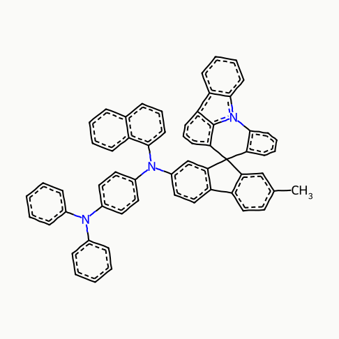 Cc1ccc2c(c1)C1(c3cc(N(c4ccc(N(c5ccccc5)c5ccccc5)cc4)c4cccc5ccccc45)ccc3-2)c2ccccc2-n2c3ccccc3c3cccc1c32